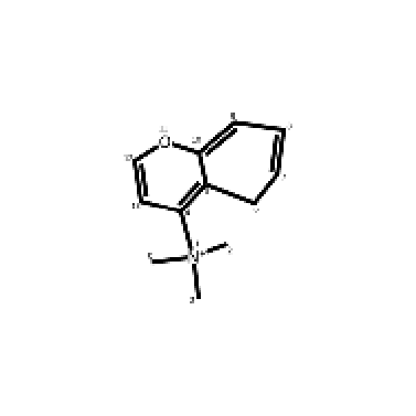 C[N+](C)(C)C1=C2CC=CC=C2OC=C1